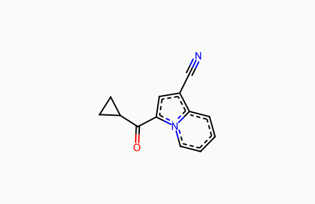 N#Cc1cc(C(=O)C2CC2)n2ccccc12